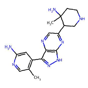 Cc1cnc(N)cc1-c1n[nH]c2nc(C3CNCCC3(C)N)cnc12